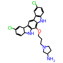 NC1CCN(CCCOc2c3c(cc4c2[nH]c2ccc(Cl)cc24)C2C=C(Cl)C=CC2N3)C1